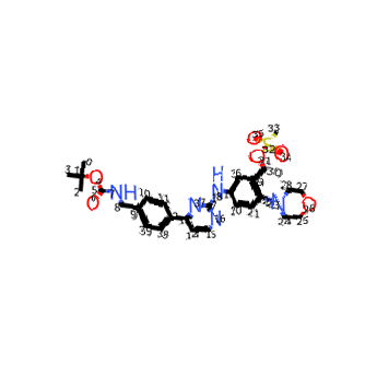 CC(C)(C)OC(=O)NCc1ccc(-c2ccnc(Nc3ccc(N4CCOCC4)c(COS(C)(=O)=O)c3)n2)cc1